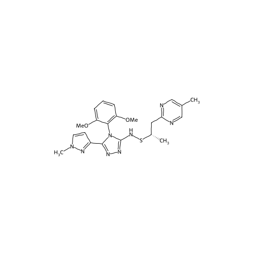 COc1cccc(OC)c1-n1c(NS[C@@H](C)Cc2ncc(C)cn2)nnc1-c1ccn(C)n1